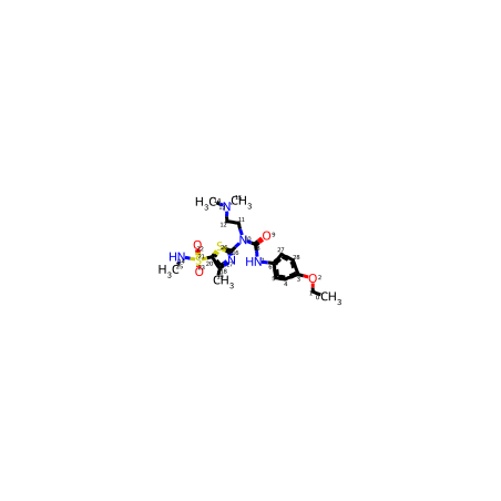 CCOc1ccc(NC(=O)N(CCN(C)C)c2nc(C)c(S(=O)(=O)NC)s2)cc1